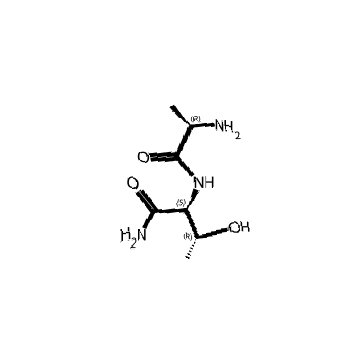 C[C@@H](N)C(=O)N[C@H](C(N)=O)[C@@H](C)O